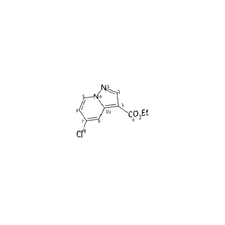 CCOC(=O)c1cnn2ccc(Cl)cc12